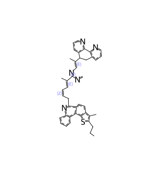 C=NC(=N\C=C(/C)C1Cc2cccnc2-c2ncccc21)/C(C)=C/C=C\Cc1nc2ccccc2c2c1ccc1c(C)c(CCC)sc12